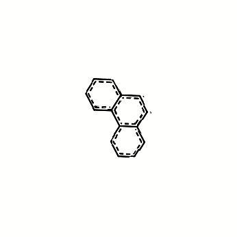 [c]1[c]c2ccccc2c2ccccc12